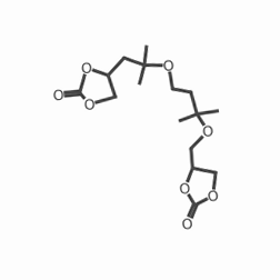 CC(C)(CCOC(C)(C)CC1COC(=O)O1)OCC1COC(=O)O1